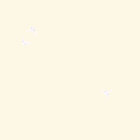 C=CC1=NC(=O)N=C1C1=C(C)C(C)(C)c2cc(C/C=C\C(C3C=CC=CC3=C)N(c3ccccc3)c3ccccc3)ccc21